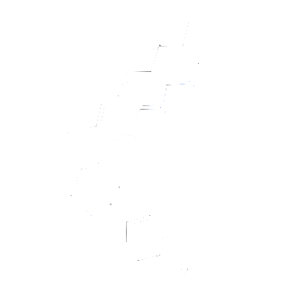 COc1ccc(C2CN(c3cc4nc5c(cc4cc3F)c(=O)c(C(=O)O)cn5C)CCN2)cc1